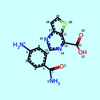 NC(=O)c1ccc(N)cc1.O=C(O)c1ncnc2ccsc12